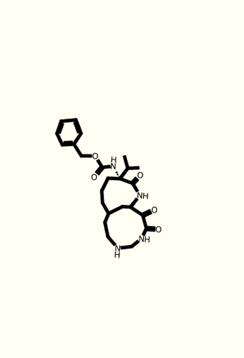 CC(C)[C@]1(NC(=O)OCc2ccccc2)CCCC2CCNCNC(=O)C(=O)C(C)(C2)NC1=O